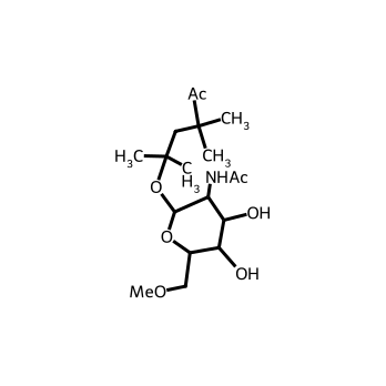 COCC1OC(OC(C)(C)CC(C)(C)C(C)=O)C(NC(C)=O)C(O)C1O